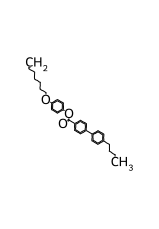 C=CCCCCCOc1ccc(OC(=O)c2ccc(-c3ccc(CCCC)cc3)cc2)cc1